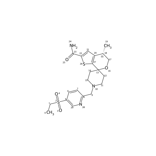 CCS(=O)(=O)c1ccc(CN2CCC3(CC2)OC[C@@H](C)c2cc(C(N)=O)sc23)nc1